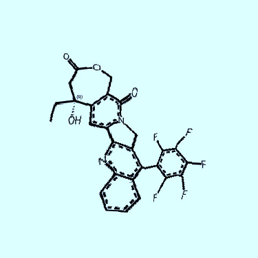 CC[C@@]1(O)CC(=O)OCc2c1cc1n(c2=O)Cc2c-1nc1ccccc1c2-c1c(F)c(F)c(F)c(F)c1F